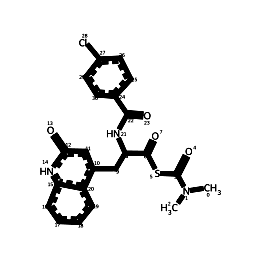 CN(C)C(=O)SC(=O)C(Cc1cc(=O)[nH]c2ccccc12)NC(=O)c1ccc(Cl)cc1